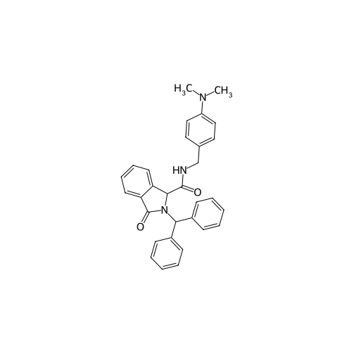 CN(C)c1ccc(CNC(=O)C2c3ccccc3C(=O)N2C(c2ccccc2)c2ccccc2)cc1